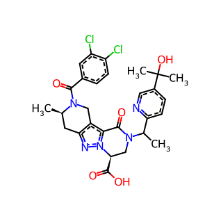 CC(c1ccc(C(C)(C)O)cn1)N1C[C@@H](C(=O)O)n2nc3c(c2C1=O)CN(C(=O)c1ccc(Cl)c(Cl)c1)[C@H](C)C3